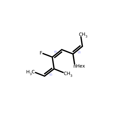 C\C=C(/C=C(F)\C(C)=C/C)CCCCCC